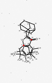 CN1C(C)(C)CC(OC(=O)C23CC4CC(C2)C(OC(=O)c2cc(I)cc(I)c2I)C(C4)C3)CC1(C)C